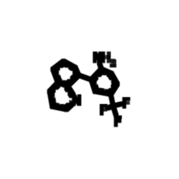 Nc1ccc(C(F)(F)F)cc1-c1cccc2cccnc12